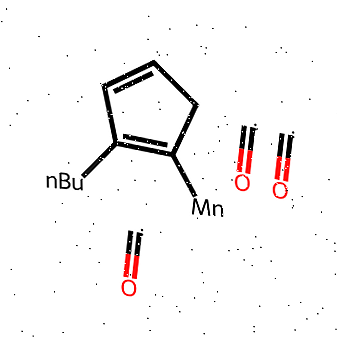 CCCCC1=[C]([Mn])CC=C1.[C]=O.[C]=O.[C]=O